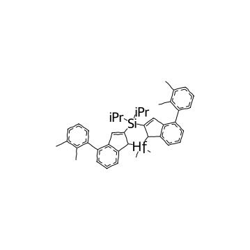 Cc1cccc(-c2cccc3c2C=C2[CH]3[Hf]([CH3])([CH3])[CH]3C(=Cc4c(-c5cccc(C)c5C)cccc43)[Si]2(C(C)C)C(C)C)c1C